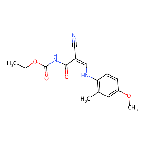 CCOC(=O)NC(=O)/C(C#N)=C\Nc1ccc(OC)cc1C